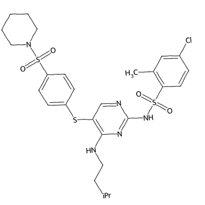 Cc1cc(Cl)ccc1S(=O)(=O)Nc1ncc(Sc2ccc(S(=O)(=O)N3CCCCC3)cc2)c(NCCC(C)C)n1